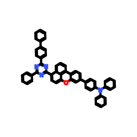 c1ccc(-c2ccc(-c3nc(-c4ccccc4)nc(-c4ccc5c6c(cccc46)-c4ccc(-c6ccc(N(c7ccccc7)c7ccccc7)cc6)cc4O5)n3)cc2)cc1